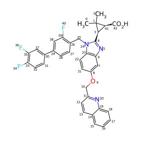 CC1(C)[C@H](c2nc3cc(OCc4ccc5ccccc5n4)ccc3n2Cc2ccc(-c3ccc(F)c(F)c3)cc2F)[C@@H]1C(=O)O